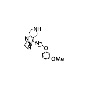 COc1cccc(OC2CN(c3c4c(nc5ccnn35)CCNCC4)C2)c1